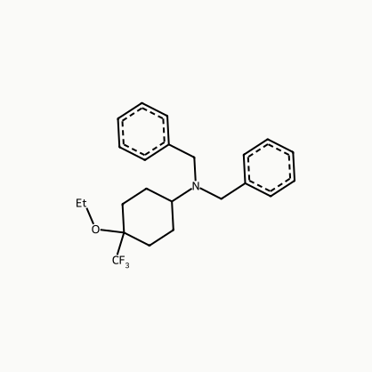 CCOC1(C(F)(F)F)CCC(N(Cc2ccccc2)Cc2ccccc2)CC1